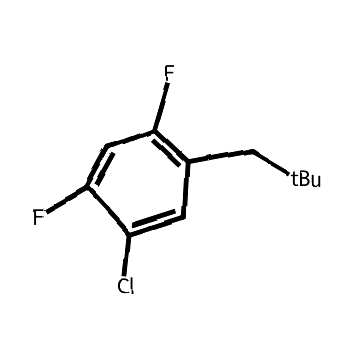 CC(C)(C)Cc1cc(Cl)c(F)cc1F